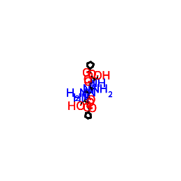 Nc1nc(C(=O)N[C@H](CO)C(=O)OC(=O)c2ccccc2)c(N)nc1C(=O)N[C@H](CO)C(=O)OC(=O)c1ccccc1